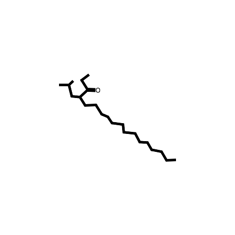 CCCCCCCCCCCCCCC(CC(C)C)C(=O)CC